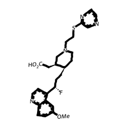 COc1ccc2nccc([C@@H](F)CC[C@@H]3CCN(CCSc4cnccn4)C[C@@H]3CC(=O)O)c2c1